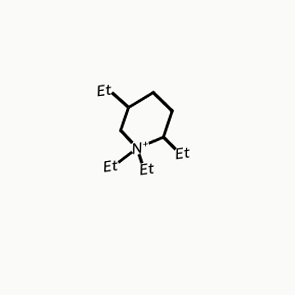 CCC1CCC(CC)[N+](CC)(CC)C1